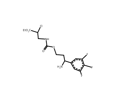 CCOC(=O)C(Cl)CNC(=O)OCCC(N)c1cc(F)c(F)c(F)c1